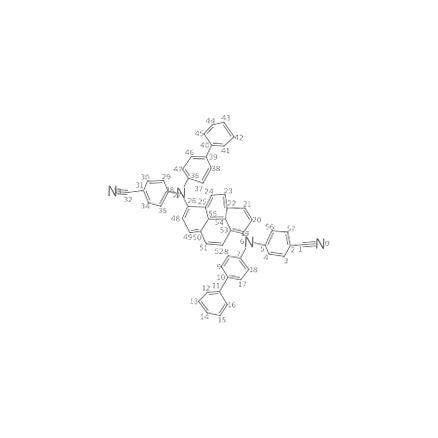 N#Cc1ccc(N(c2ccc(-c3ccccc3)cc2)c2ccc3ccc4c(N(c5ccc(C#N)cc5)c5ccc(-c6ccccc6)cc5)ccc5ccc2c3c54)cc1